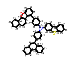 c1ccc2c(c1)cc(-c1ccc(N(c3ccc(-c4cccc5oc6c7ccccc7ccc6c45)cc3)c3ccc4c(c3)sc3ccccc34)cc1)c1ccccc12